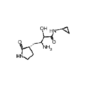 N[C@@H](C[C@@H]1CCNC1=O)C(O)C(=O)NC1CC1